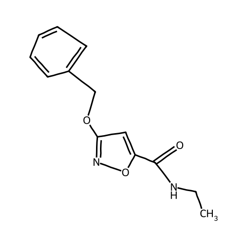 CCNC(=O)c1cc(OCc2ccccc2)no1